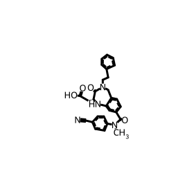 CN(C(=O)c1ccc2c(c1)N[C@H](CC(=O)O)C(=O)N(CCc1ccccc1)C2)c1ccc(C#N)cc1